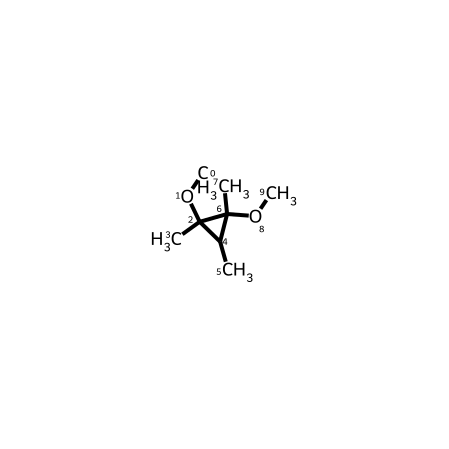 COC1(C)C(C)C1(C)OC